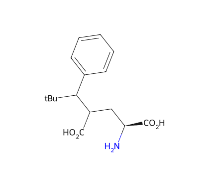 CC(C)(C)C(c1ccccc1)C(C[C@H](N)C(=O)O)C(=O)O